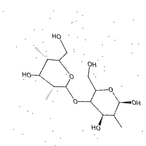 CC1[C@@H](O)C(OC2OC(CO)[C@@H](C)C(O)[C@H]2C)C(CO)O[C@H]1O